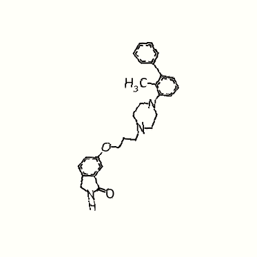 Cc1c(-c2ccccc2)cccc1N1CCN(CCCOc2ccc3c(c2)C(=O)NC3)CC1